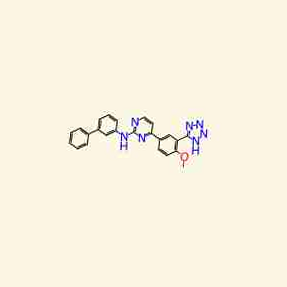 COc1ccc(-c2ccnc(Nc3cccc(-c4ccccc4)c3)n2)cc1-c1nnn[nH]1